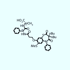 CCCCC1(CCCC)C(=O)Sc2cc(OCCC(=O)N[C@@H](C(=O)N[C@@H](C)C(=O)O)c3ccccc3)c(SC)cc2N(c2ccccc2)C1=O